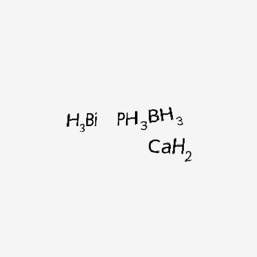 B.P.[BiH3].[CaH2]